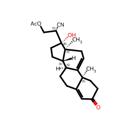 CC(=O)OC[C@H](C#N)[C@]1(O)CC[C@H]2[C@@H]3CCC4=CC(=O)CC[C@]4(C)C3=CC[C@@]21C